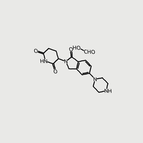 O=C1CCC(N2Cc3cc(N4CCNCC4)ccc3C2=O)C(=O)N1.O=CO